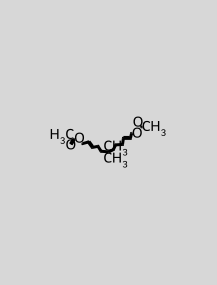 CC(=O)OCC=CCCCC(C)(C)CC/C=C/COC(C)=O